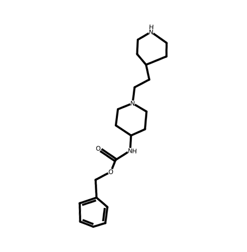 O=C(NC1CCN(CCC2CCNCC2)CC1)OCc1ccccc1